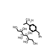 CC(C)Cc1ccc(C(C)C(=O)O)cc1.OC[C@@H](O)[C@@H](O)[C@H](O)[C@H](O)CO